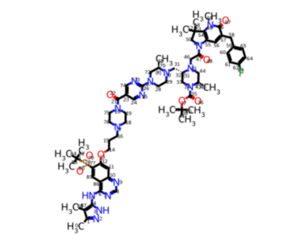 Cc1n[nH]c(Nc2ncnc3cc(OCCCN4CCN(C(=O)c5cnc(N6CCN(C[C@H]7CN(C(=O)OC(C)(C)C)[C@H](C)CN7CC(=O)N7CC(C)(C)c8c7cc(Cc7ccc(F)cc7)c(=O)n8C)[C@H](C)C6)nc5)CC4)c(S(=O)(=O)C(C)(C)C)cc23)c1C